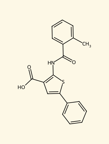 Cc1ccccc1C(=O)Nc1sc(-c2ccccc2)cc1C(=O)O